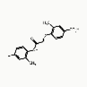 Cc1cc(I)ccc1NC(=O)COc1ccc(C(=O)O)cc1C